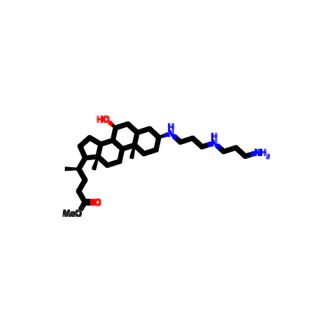 COC(=O)CC[C@@H](C)C1CCC2C3C(CC[C@@]21C)[C@@]1(C)CC[C@H](NCCCNCCCN)CC1C[C@@H]3O